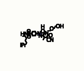 Cc1c(/N=N/c2ccc(S(=O)(=O)NC(C)CCCC(C)C)cc2)c(O)n(CCOCCO)c(=O)c1C#N